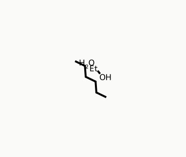 CCCCCC.CCO.O